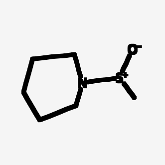 C[S+]([O-])N1CCCCC1